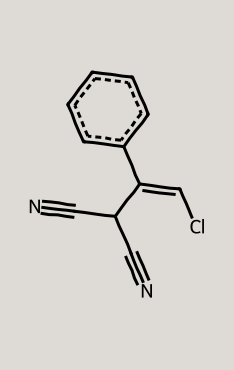 N#CC(C#N)C(=CCl)c1ccccc1